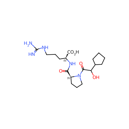 N=C(N)NCCC[C@H](NC(=O)[C@@H]1CCCN1C(=O)C(O)C1CCCC1)C(=O)O